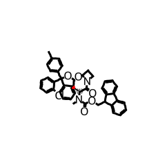 Cc1ccc(C(OC(=O)C[C@@H](C(=O)N2CCC2)N(C)C(=O)OCC2c3ccccc3-c3ccccc32)(c2ccccc2)c2ccccc2Cl)cc1